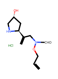 C=CCON(C=O)CC(=C)[C@@H]1C[C@@H](O)CN1.Cl